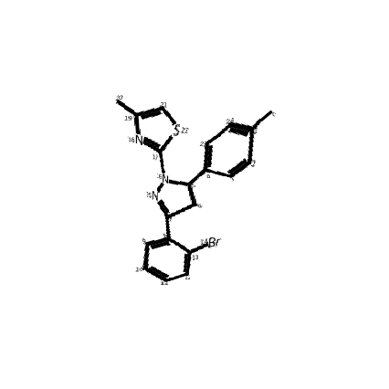 Cc1ccc(C2CC(c3ccccc3Br)=NN2c2nc(C)cs2)cc1